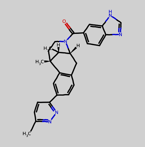 Cc1ccc(-c2ccc3c(c2)[C@]2(C)CCN(C(=O)c4ccc5nc[nH]c5c4)[C@H](C3)[C@H]2C)nn1